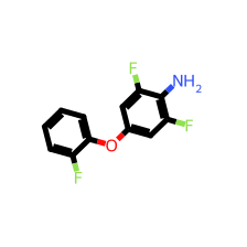 Nc1c(F)cc(Oc2ccccc2F)cc1F